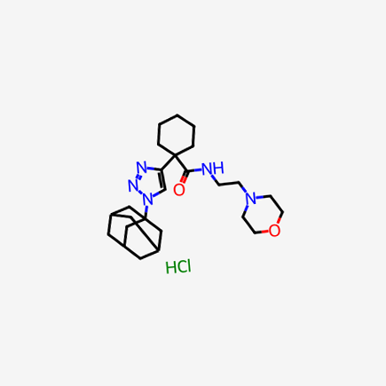 Cl.O=C(NCCN1CCOCC1)C1(c2cn(C34CC5CC(CC(C5)C3)C4)nn2)CCCCC1